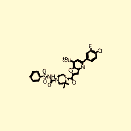 CC(C)(C)c1cc(-c2ccc(Cl)c(F)c2)nc2cc(C(=O)N3CCN(C(=O)NS(=O)(=O)c4ccccc4)CC3(C)C)oc12